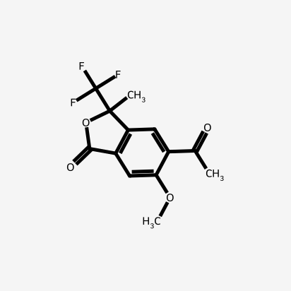 COc1cc2c(cc1C(C)=O)C(C)(C(F)(F)F)OC2=O